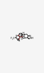 O=S(=O)(c1ccc(C(F)(F)F)nc1)N1C2Cc3c(C4CC4)cccc3[C@@H]1Cc1n[nH]cc12